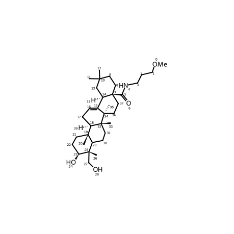 COCCCNC(=O)[C@]12CCC(C)(C)C[C@@H]1C1=CC[C@@H]3[C@@]4(C)CC[C@H](O)[C@@](C)(CO)C4CC[C@@]3(C)[C@]1(C)CC2